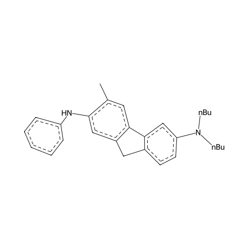 CCCCN(CCCC)c1ccc2c(c1)-c1cc(C)c(Nc3ccccc3)cc1C2